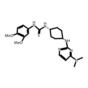 COc1ccc(NC(=S)N[C@H]2CC[C@@H](Nc3nccc(N(C)C)n3)CC2)cc1OC